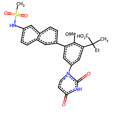 CCC(C)(C(=O)O)c1cc(-n2ccc(=O)[nH]c2=O)cc(-c2ccc3cc(NS(C)(=O)=O)ccc3c2)c1OC